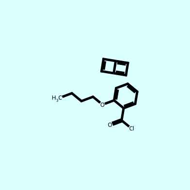 CCCCOc1ccccc1C(=O)Cl.c1cc2ccc1-2